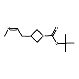 C/N=C\CC1CN(C(=O)OC(C)(C)C)C1